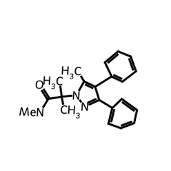 CNC(=O)C(C)(C)n1nc(-c2ccccc2)c(-c2ccccc2)c1C